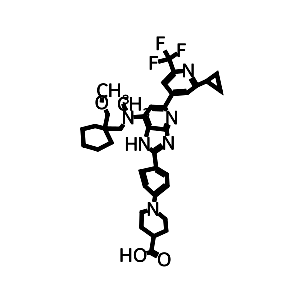 COCC1(CN(C)c2cc(-c3cc(C4CC4)nc(C(F)(F)F)c3)nc3nc(-c4ccc(N5CCC(C(=O)O)CC5)cc4)[nH]c23)CCCCC1